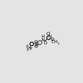 COc1cc(C(=O)NC2CCC(F)(S(=O)(=O)c3cccc(C(F)(F)F)c3)CC2)cc(Cl)n1